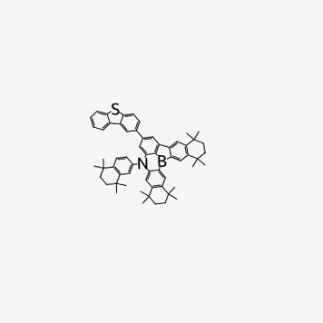 CC1(C)CCC(C)(C)c2cc(N3c4cc5c(cc4B4c6cc7c(cc6-c6cc(-c8ccc9sc%10ccccc%10c9c8)cc3c64)C(C)(C)CCC7(C)C)C(C)(C)CCC5(C)C)ccc21